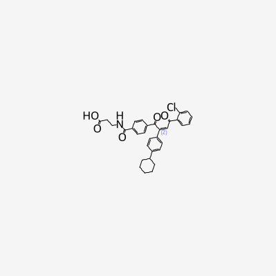 O=C(O)CCNC(=O)c1ccc(C(=O)/C(=C\C(=O)c2ccccc2Cl)c2ccc(C3CCCCC3)cc2)cc1